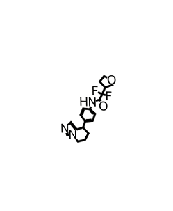 O=C(Nc1ccc(C2CCCn3cncc32)cc1)C(F)(F)C1CCOC1